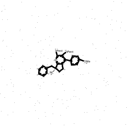 CCCCCc1nc2c(c(-c3ccc(OC)cc3)c1CCCCC)CC[C@@]2(C#N)Cc1ccccc1